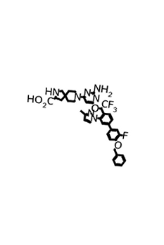 Cc1ccn(-c2cc(-c3ccc(OCc4ccccc4)c(F)c3)ccc2[C@@H](Oc2cc(N3CCC4(CC3)CNC(C(=O)O)C4)nc(N)n2)C(F)(F)F)n1